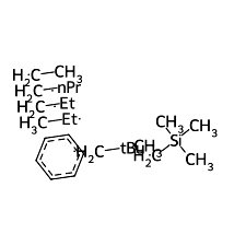 C[CH]C.[CH2]C.[CH2]C(C)(C)C.[CH2]CC.[CH2]CCC.[CH2][Si](C)(C)C.[CH3].c1ccccc1